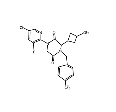 O=C1C(C2CC(O)C2)N(Cc2ccc(C(F)(F)F)cc2)C(=O)CN1c1ncc(Cl)cc1F